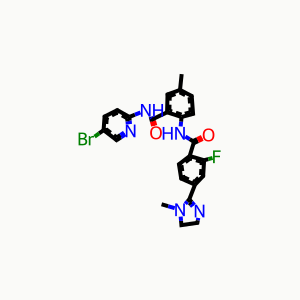 Cc1ccc(NC(=O)c2ccc(C3=NCCN3C)cc2F)c(C(=O)Nc2ccc(Br)cn2)c1